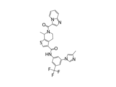 Cc1cn(-c2cc(NC(=O)c3csc4c3CCN(C(=O)c3cnc5ccccn35)C4C)cc(C(F)(F)F)c2)cn1